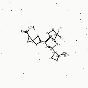 CC(=O)C1CC12CN(c1nc(N3CC[C@@H]3C)nc3c1CCC3(F)F)C2